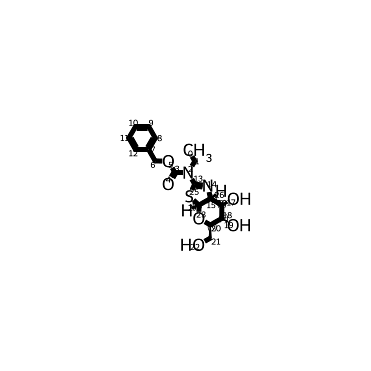 CCN(C(=O)OCc1ccccc1)C1=N[C@@H]2[C@@H](O)[C@H](O)[C@@H](CO)O[C@@H]2S1